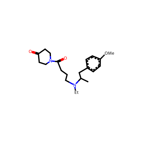 CCN(CCCC(=O)N1CCC(=O)CC1)C(C)Cc1ccc(OC)cc1